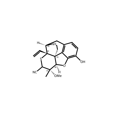 C=C[C@]12SC(C#N)[C@@](C)(OC)[C@@H]3Oc4c(O)ccc5c4[C@@]31CCN[C@@H]2C5